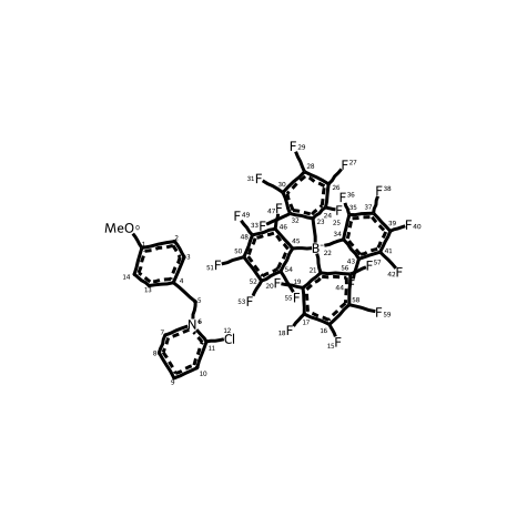 COc1ccc(C[n+]2ccccc2Cl)cc1.Fc1c(F)c(F)c([B-](c2c(F)c(F)c(F)c(F)c2F)(c2c(F)c(F)c(F)c(F)c2F)c2c(F)c(F)c(F)c(F)c2F)c(F)c1F